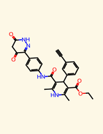 C#Cc1cccc(C2C(C(=O)Nc3ccc(C4=NNC(=O)CC4=O)cc3)=C(C)NC(C)=C2C(=O)OCC)c1